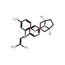 CC(C)=COc1cc(C(F)(F)F)ccc1O[C@H]1C[C@H]2CC[C@@H](C1)N2c1ccc(C(F)(F)F)cn1